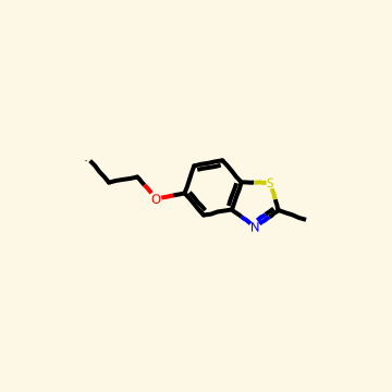 [CH2]CCOc1ccc2sc(C)nc2c1